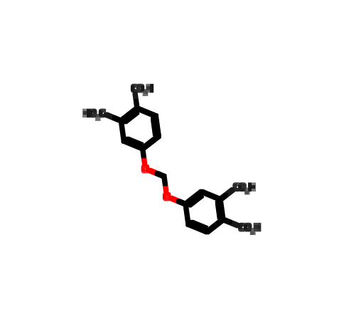 O=C(O)c1ccc(OCOc2ccc(C(=O)O)c(C(=O)O)c2)cc1C(=O)O